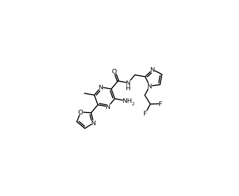 Cc1nc(C(=O)NCc2nccn2CC(F)F)c(N)nc1-c1ncco1